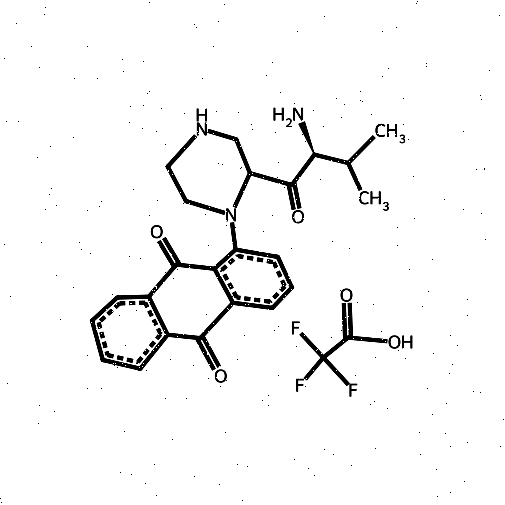 CC(C)[C@H](N)C(=O)C1CNCCN1c1cccc2c1C(=O)c1ccccc1C2=O.O=C(O)C(F)(F)F